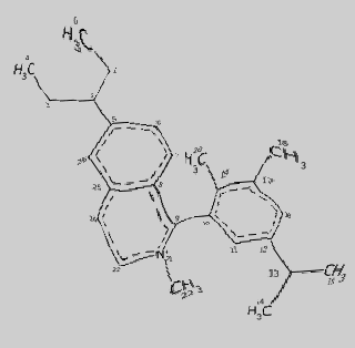 CCC(CC)c1ccc2c(-c3cc(C(C)C)cc(C)c3C)[n+](C)ccc2c1